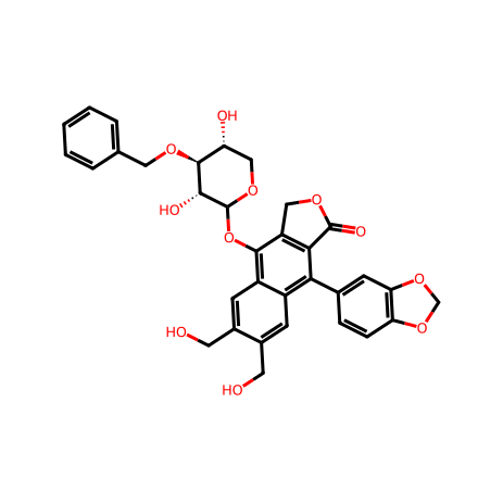 O=C1OCc2c1c(-c1ccc3c(c1)OCO3)c1cc(CO)c(CO)cc1c2OC1OC[C@@H](O)[C@H](OCc2ccccc2)[C@H]1O